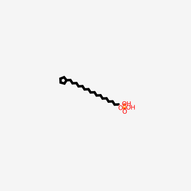 O=P(O)(O)OCCCCCCCCCCCCCCCCCC1CCCC1